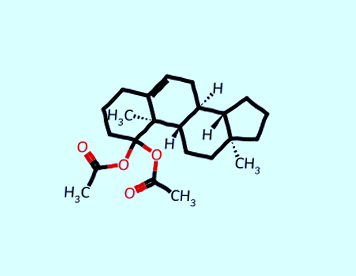 CC(=O)OC1(OC(C)=O)CCCC2=CC[C@H]3[C@@H]4CCC[C@@]4(C)CC[C@@H]3[C@]21C